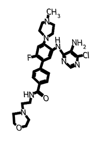 CN1CCN(c2cc(F)c(-c3ccc(C(=O)NCCN4CCOCC4)cc3)cc2Nc2ncnc(Cl)c2N)CC1